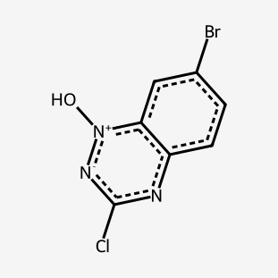 O[n+]1nc(Cl)nc2ccc(Br)cc21